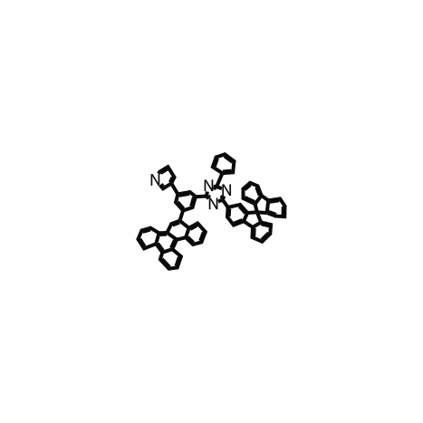 c1ccc(-c2nc(-c3cc(-c4cccnc4)cc(-c4cc5c6ccccc6c6ccccc6c5c5ccccc45)c3)nc(-c3ccc4c(c3)C3(c5ccccc5-c5ccccc53)c3ccccc3-4)n2)cc1